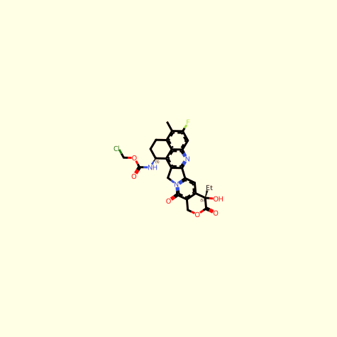 CC[C@@]1(O)C(=O)OCc2c1cc1n(c2=O)Cc2c-1nc1cc(F)c(C)c3c1c2[C@@H](NC(=O)OCCl)CC3